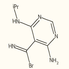 CC(C)Nc1ncnc(N)c1C(=N)Br